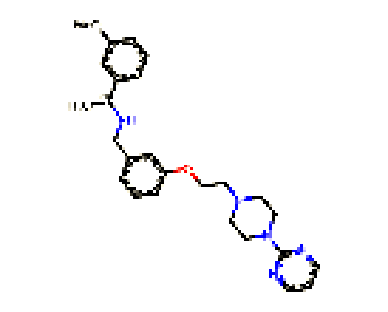 COc1cccc([C@H](C)NCc2cccc(OCCN3CCN(c4ncccn4)CC3)c2)c1